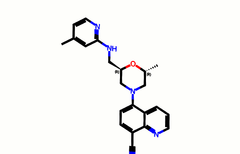 Cc1ccnc(NC[C@@H]2CN(c3ccc(C#N)c4ncccc34)C[C@@H](C)O2)c1